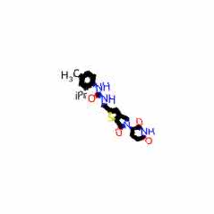 Cc1ccc(NC(=O)NCc2cc3c(s2)C(=O)N(C2CCC(=O)NC2=O)C3)c(C(C)C)c1